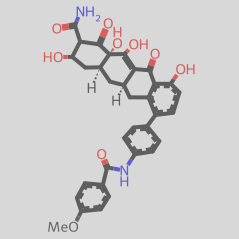 COc1ccc(C(=O)Nc2ccc(-c3ccc(O)c4c3C[C@H]3C[C@H]5CC(O)C(C(N)=O)C(=O)[C@@]5(O)C(O)=C3C4=O)cc2)cc1